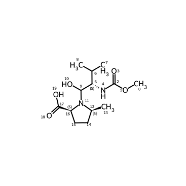 COC(=O)N[C@@H](C(C)C)C(O)N1[C@@H](C)CC[C@H]1C(=O)O